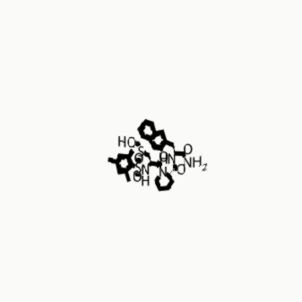 Cc1cc(C)c(S(=O)(=O)N[C@@H](CSCO)C(=O)N2CCCC[C@H]2C(=O)N[C@@H](Cc2ccc3ccccc3c2)C(N)=O)c(C)c1